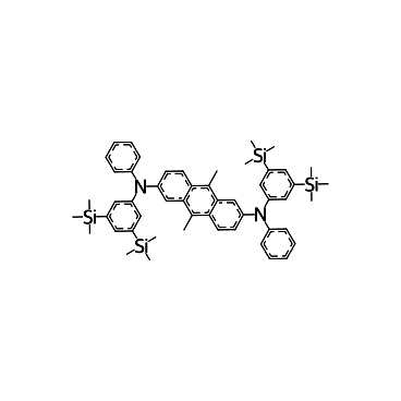 Cc1c2ccc(N(c3ccccc3)c3cc([Si](C)(C)C)cc([Si](C)(C)C)c3)cc2c(C)c2ccc(N(c3ccccc3)c3cc([Si](C)(C)C)cc([Si](C)(C)C)c3)cc12